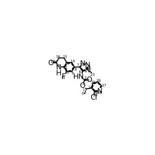 C[C@@H](OC(=O)Nc1c(-c2cc(F)c3c(c2)CCC(=O)N3)nnn1C)c1cccnc1Cl